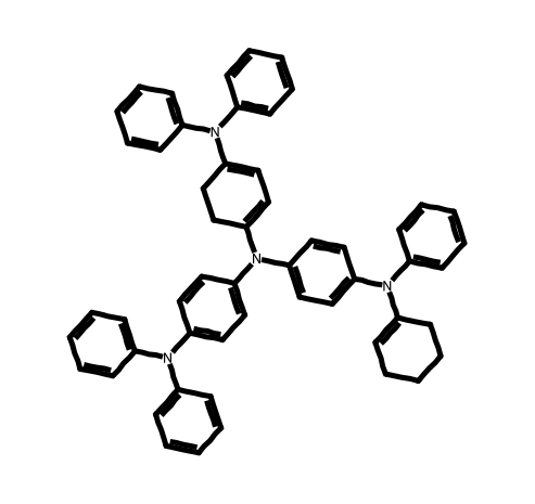 C1=C(N(c2ccccc2)c2ccc(N(C3=CC=C(N(c4ccccc4)c4ccccc4)CC3)c3ccc(N(c4ccccc4)c4ccccc4)cc3)cc2)CCCC1